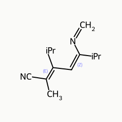 C=N/C(=C\C(=C(/C)C#N)C(C)C)C(C)C